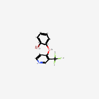 FC(F)(F)c1cnccc1Oc1ccccc1Br